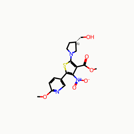 COC(=O)c1c(N2CC[C@H](CO)C2)sc(-c2ccc(OC)nc2)c1[N+](=O)[O-]